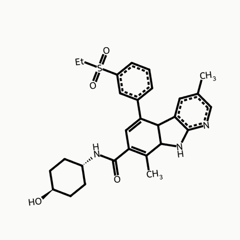 CCS(=O)(=O)c1cccc(C2=CC(C(=O)N[C@H]3CC[C@H](O)CC3)=C(C)C3Nc4ncc(C)cc4C23)c1